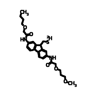 [2H]SCC1c2cc(NC(=O)COCCCC)ccc2-c2ccc(NC(=O)COCCCOC)cc21